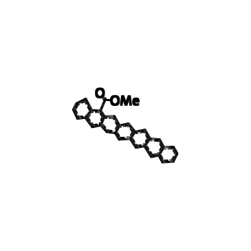 COC(=O)c1c2ccccc2cc2cc3cc4cc5cc6ccccc6cc5cc4cc3cc12